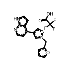 O=C(O)C(F)(F)F.c1coc(Cn2cc(-c3ccnc4[nH]ccc34)cn2)c1